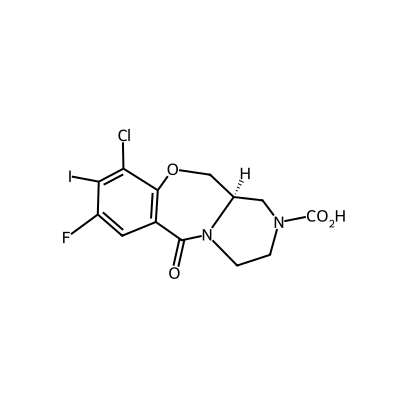 O=C(O)N1CCN2C(=O)c3cc(F)c(I)c(Cl)c3OC[C@H]2C1